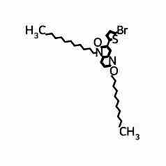 CCCCCCCCCCCCOc1ccc2c(cc(-c3ccc(Br)s3)c(=O)n2CCCCCCCCCCCC)n1